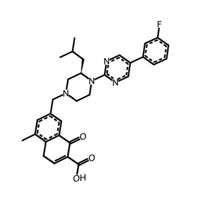 Cc1cc(CN2CCN(c3ncc(-c4cccc(F)c4)cn3)[C@H](CC(C)C)C2)cc2c1CC=C(C(=O)O)C2=O